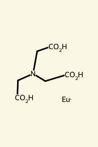 O=C(O)CN(CC(=O)O)CC(=O)O.[Eu]